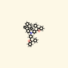 CC1(C)c2ccccc2C2(c3ccccc3-c3ccc(N(c4ccc(-c5oc6ccccc6c5-c5ccccc5)cc4)c4ccc(-c5oc6ccccc6c5-c5ccccc5)cc4)cc32)c2ccccc21